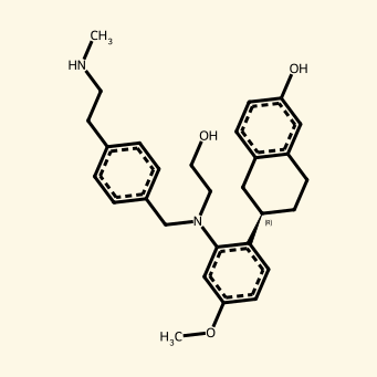 CNCCc1ccc(CN(CCO)c2cc(OC)ccc2[C@@H]2CCc3cc(O)ccc3C2)cc1